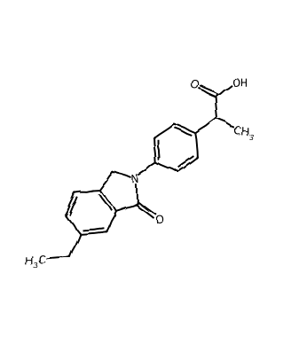 CCc1ccc2c(c1)C(=O)N(c1ccc(C(C)C(=O)O)cc1)C2